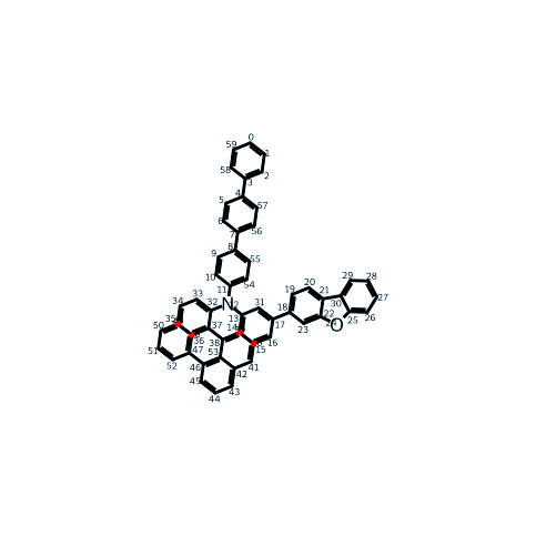 c1ccc(-c2ccc(-c3ccc(N(c4cccc(-c5ccc6c(c5)oc5ccccc56)c4)c4ccccc4-c4cccc5cccc(-c6ccccc6)c45)cc3)cc2)cc1